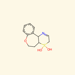 OS1(O)CC=NC2c3ccccc3OCCC21